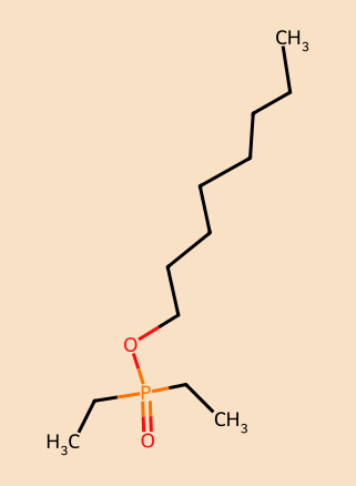 CCCCCCCCOP(=O)(CC)CC